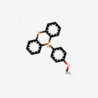 COc1ccc([SH]2c3ccccc3Sc3ccccc32)cc1